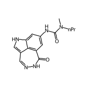 CCCN(C)C(=O)Nc1cc2c3c(c[nH]c3c1)C=NNC2=O